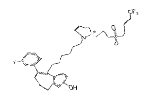 O=S(=O)(CCC[C@H]1CCCN1CCCCCCC1=C(c2cccc(F)c2)CCCc2cc(O)ccc21)CCCC(F)(F)F